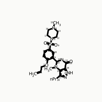 C=CCOc1ccc(S(=O)(=O)N2CCN(C)CC2)cc1C1[N]C(=O)c2[nH]nc(CCC)c2N1C